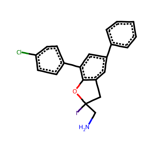 NCC1(I)Cc2cc(-c3ccccc3)cc(-c3ccc(Cl)cc3)c2O1